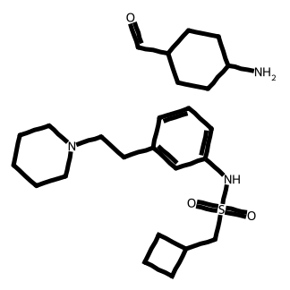 NC1CCC(C=O)CC1.O=S(=O)(CC1CCC1)Nc1cccc(CCN2CCCCC2)c1